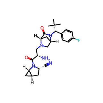 CC(C)(C)[C@H](c1ccc(F)cc1)N1C(=O)[C@@H]2C[C@H]1CN2C[C@H](N)C(=O)N1[C@H](C#N)C[C@@H]2C[C@@H]21